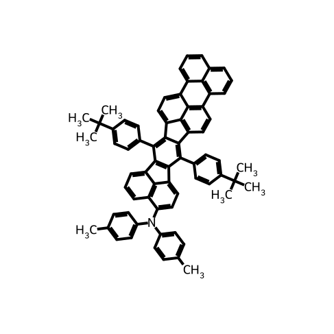 Cc1ccc(N(c2ccc(C)cc2)c2ccc3c4c(-c5ccc(C(C)(C)C)cc5)c5c6ccc7c8cccc9cccc(c%10ccc(c5c(-c5ccc(C(C)(C)C)cc5)c4c4cccc2c43)c6c%107)c98)cc1